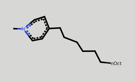 CCCCCCCCCCCCCCc1cc[n+](C)cc1